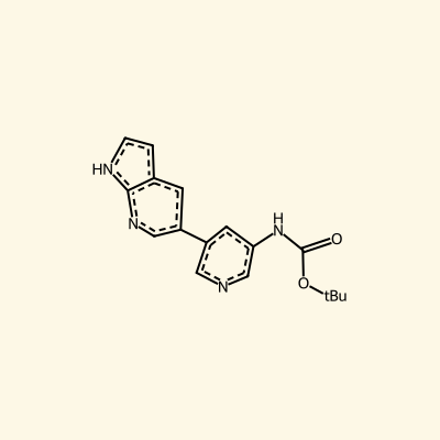 CC(C)(C)OC(=O)Nc1cncc(-c2cnc3[nH]ccc3c2)c1